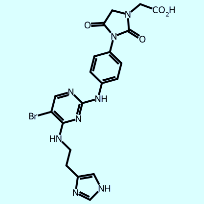 O=C(O)CN1CC(=O)N(c2ccc(Nc3ncc(Br)c(NCCc4c[nH]cn4)n3)cc2)C1=O